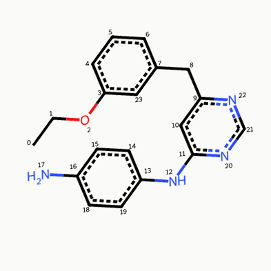 CCOc1cccc(Cc2cc(Nc3ccc(N)cc3)ncn2)c1